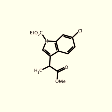 CCOC(=O)n1cc(C(C)C(=O)OC)c2ccc(Cl)cc21